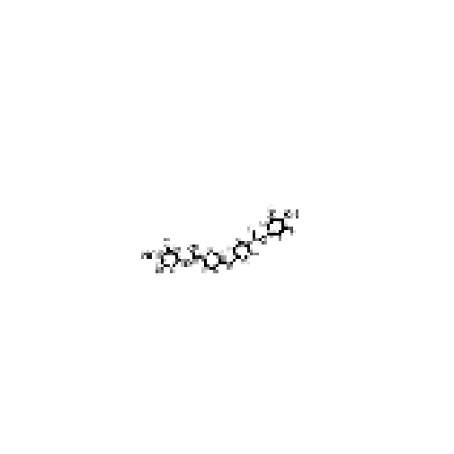 N#Cc1c(F)cc(OC(=O)c2ccc(Cc3ccc(C(=O)Oc4cc(F)c(C#N)c(F)c4)cc3)cc2)cc1F